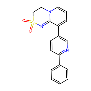 O=S1(=O)CCN2C=CC=C(c3ccc(-c4ccccc4)nc3)C2=N1